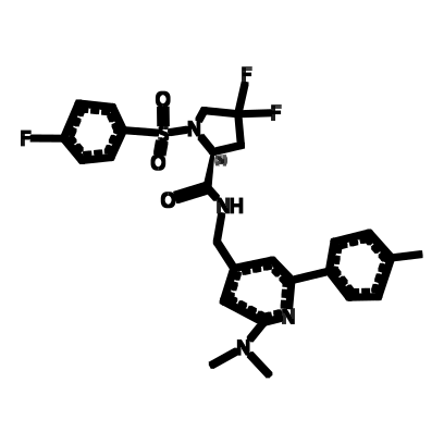 Cc1ccc(-c2cc(CNC(=O)[C@@H]3CC(F)(F)CN3S(=O)(=O)c3ccc(F)cc3)cc(N(C)C)n2)cc1